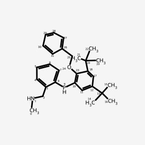 CNCc1ccccc1Pc1cc(C(C)(C)C)cc(C(C)(C)C)c1OCc1ccccc1